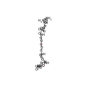 CN(Cc1cnc2nc(N)nc(N)c2n1)c1ccc(N(C=O)[C@@H](CCC(=O)NCCOCCOCCOCCOCCOCCNC(=O)COc2ccc(-c3n[nH]c4c3C(=O)c3c(NC(=O)NN5CCOCC5)cccc3-4)cc2)C(=O)O)cc1